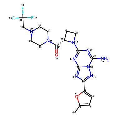 Cc1ccc(-c2nc3nc(N4CC[C@H]4C(=O)N4CCN(CC(F)(F)F)CC4)nc(N)n3n2)o1